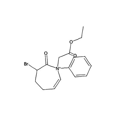 CCOC(=O)C[N+]1(c2ccccc2)C=CCCC(Br)C1=O